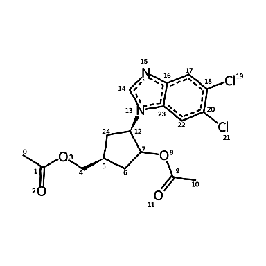 CC(=O)OC[C@@H]1CC(OC(C)=O)[C@H](n2cnc3cc(Cl)c(Cl)cc32)C1